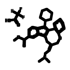 COC(=O)c1ccc2c(C3CCCCC3)c3n(c2c1)CC(=CCN(C)C)COc1ccccc1-3.O=C(O)C(F)(F)F